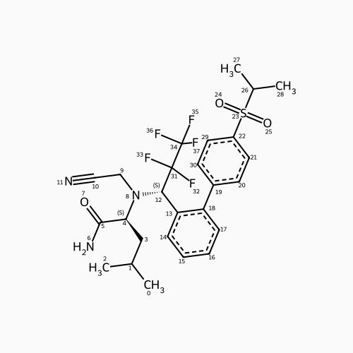 CC(C)C[C@@H](C(N)=O)N(CC#N)[C@@H](c1ccccc1-c1ccc(S(=O)(=O)C(C)C)cc1)C(F)(F)C(F)(F)F